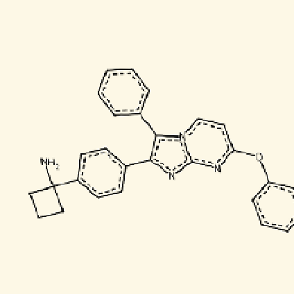 NC1(c2ccc(-c3nc4nc(Oc5ccccc5)ccn4c3-c3ccccc3)cc2)CCC1